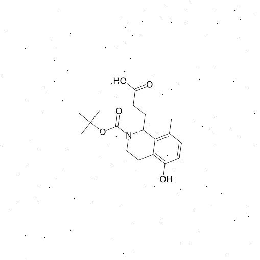 Cc1ccc(O)c2c1C(CCC(=O)O)N(C(=O)OC(C)(C)C)CC2